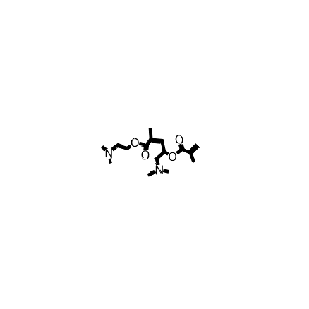 C=C(C)C(=O)OC(C=C(C)C(=O)OCCN(C)C)CN(C)C